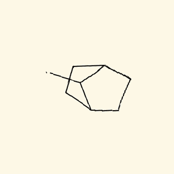 [CH2]C1C2CCC1CC2